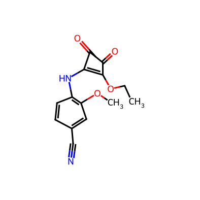 CCOc1c(Nc2ccc(C#N)cc2OC)c(=O)c1=O